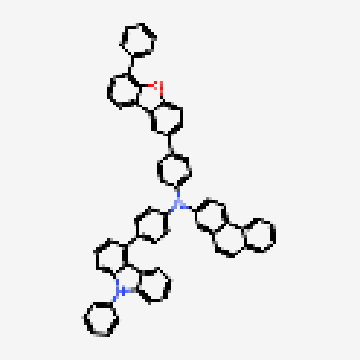 c1ccc(-c2cccc3c2oc2ccc(-c4ccc(N(c5ccc(-c6cccc7c6c6ccccc6n7-c6ccccc6)cc5)c5ccc6c(ccc7ccccc76)c5)cc4)cc23)cc1